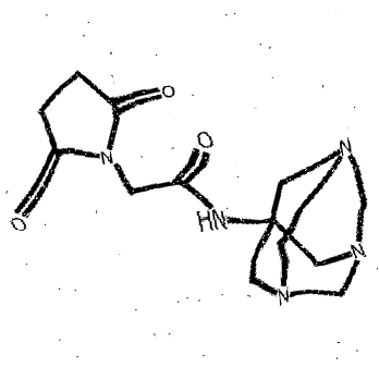 O=C(CN1C(=O)CCC1=O)NC12CN3CN(CN(C3)C1)C2